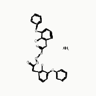 O=C(Cc1cccc(Oc2ccccc2)c1Cl)OOOC(=O)Cc1cccc(Oc2ccccc2)c1Cl.[AlH3]